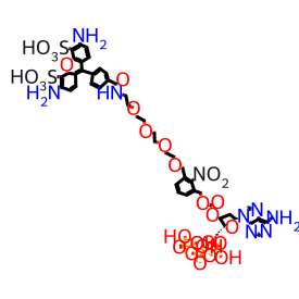 NC1=C(S(=O)(=O)O)C2Oc3c(ccc(N)c3S(=O)(=O)O)C(c3ccc(C(=O)NCCOCCOCCOCCOCc4cccc(COC(=O)O[C@@H]5C[C@H](n6cnc7c(N)ncnc76)O[C@@H]5COP(=O)(O)OP(=O)(O)OP(=O)(O)O)c4[N+](=O)[O-])cc3)=C2C=C1